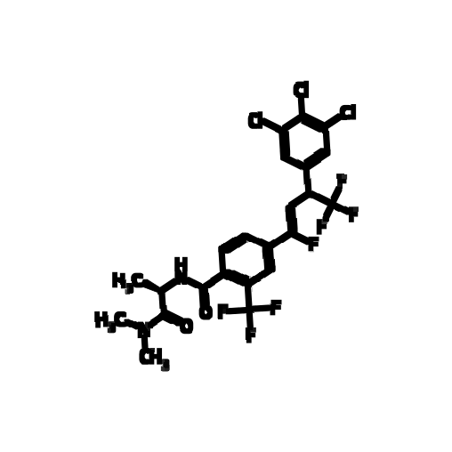 C[C@@H](NC(=O)c1ccc(/C(F)=C/C(c2cc(Cl)c(Cl)c(Cl)c2)C(F)(F)F)cc1C(F)(F)F)C(=O)N(C)C